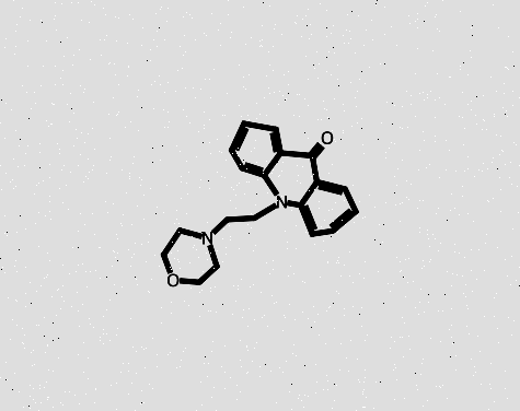 O=c1c2ccccc2n(CCN2CCOCC2)c2ccccc12